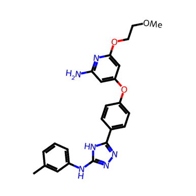 COCCOc1cc(Oc2ccc(-c3nnc(Nc4cccc(C)c4)[nH]3)cc2)cc(N)n1